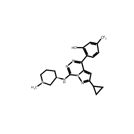 CN1CCC[C@@H](Nc2nnc(-c3ccc(C(F)(F)F)cc3O)c3cc(C4CC4)nn23)C1